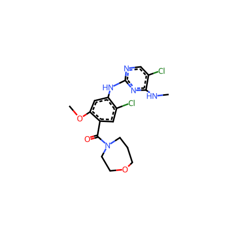 CNc1nc(Nc2cc(OC)c(C(=O)N3CCCOCC3)cc2Cl)ncc1Cl